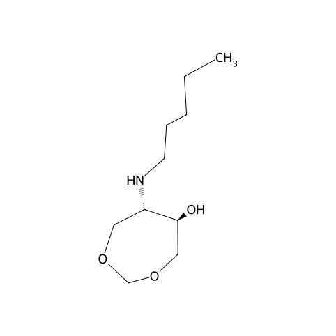 CCCCCN[C@H]1COCOC[C@@H]1O